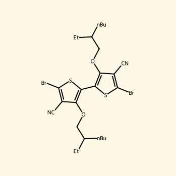 CCCCC(CC)COc1c(-c2sc(Br)c(C#N)c2OCC(CC)CCCC)sc(Br)c1C#N